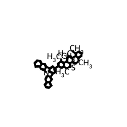 CC(C)c1cccc2c1-c1ccc3c4c(sc(c14)C2C)C(C)c1cc(-c2cc4c5cc6ccccc6cc5n5c6cc7ccccc7cc6c(c2)c45)cc(C(C)C)c1-3